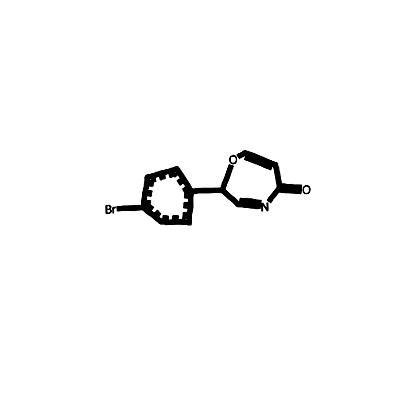 O=C1C=COC(c2ccc(Br)cc2)C=N1